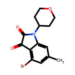 Cc1cc(Br)c2c(c1)N(C1CCOCC1)C(=O)C2=O